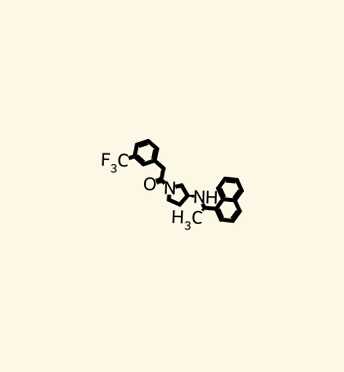 C[C@@H](N[C@H]1CCN(C(=O)Cc2cccc(C(F)(F)F)c2)C1)c1cccc2ccccc12